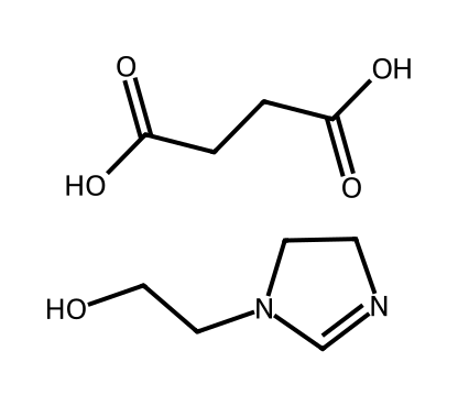 O=C(O)CCC(=O)O.OCCN1C=NCC1